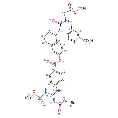 CC(C)(C)OC(=O)CN(Cc1cccc(C(=O)O)c1)C(=O)CC1CCCc2cc(OC(=O)c3ccc(NC(=NC(=O)OC(C)(C)C)NC(=O)OC(C)(C)C)cc3)ccc21